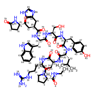 CCNC(=O)[C@@H]1CCCN1C(=O)[C@H](CCCNC(=N)N)NC(=O)[C@H](CC(C)C)NC(=O)[C@@H](CC(C)C)NC(=O)[C@H](Cc1ccc(O)cc1)NC(=O)[C@H](CO)NC(=O)[C@H](Cc1c[nH]c2ccccc12)NC(=O)[C@@H](CC(=O)[C@@H]1CCC(=O)N1)Cc1c[nH]cn1